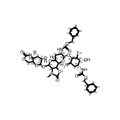 CN1C(=O)OC2C3O[C@H](O[C@@H]4C(N)C[C@@H](NC(=O)OCc5ccccc5)[C@@H](O)C4F)[C@@H](NC(=O)OCc4ccccc4)C[C@@H]3OC(O[C@H]3OC4COC(=O)N[C@H]4C[C@@H]3O)C21